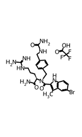 Cc1c(C(=O)N(Cc2ccc(CNC(N)=O)cc2)[C@H](CCCNC(=N)N)C(N)=O)[nH]c2ccc(Br)cc12.O=C(O)C(F)(F)F